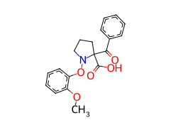 COc1ccccc1ON1CCCC1(C(=O)O)C(=O)c1ccccc1